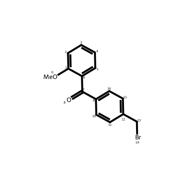 COc1ccccc1C(=O)c1ccc(CBr)cc1